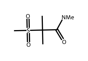 CNC(=O)C(C)(C)S(C)(=O)=O